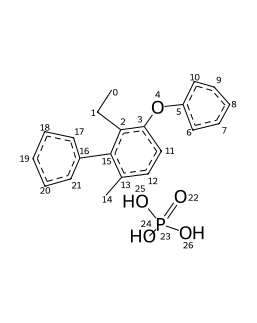 CCc1c(Oc2ccccc2)ccc(C)c1-c1ccccc1.O=P(O)(O)O